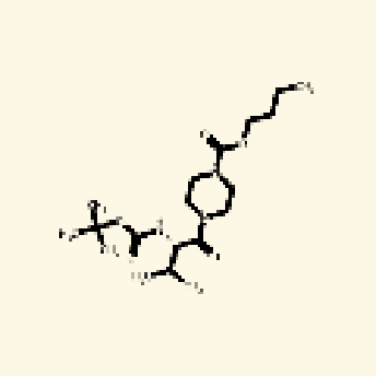 CCCCOC(=O)N1CCN(C(=O)[C@@H](NC(=O)OC(C)(C)C)C(C)C)CC1